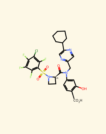 O=C(O)c1ccc(N(Cc2cnc(C3CCCCC3)cn2)C(=O)[C@H]2CCN2S(=O)(=O)c2c(F)c(F)c(F)c(Cl)c2F)cc1O